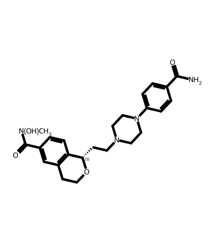 CN(O)C(=O)c1ccc2c(c1)CCO[C@H]2CCN1CCN(c2ccc(C(N)=O)cc2)CC1